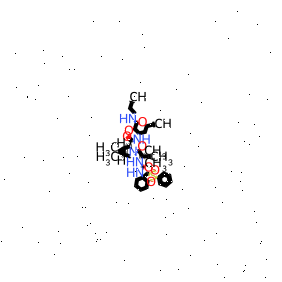 C#CCCNC(=O)C(=O)C(CCC#C)NC(=O)[C@@H]1[C@@H]2[C@H](CN1C(=O)[C@@H](NC(=O)NC1(CS(=O)(=O)c3ccccc3)CCCCC1)C(C)(C)C)C2(C)C